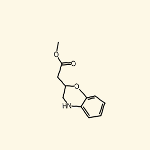 COC(=O)CC1CNc2ccccc2O1